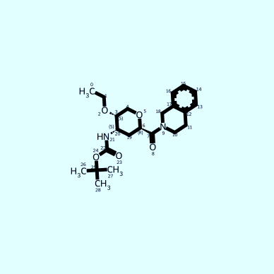 CCO[C@@H]1CO[C@@H](C(=O)N2CCc3ccccc3C2)C[C@@H]1NC(=O)OC(C)(C)C